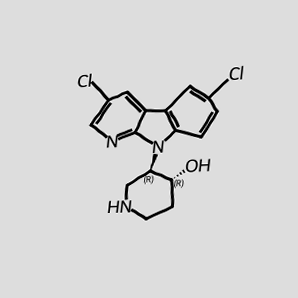 O[C@@H]1CCNC[C@H]1n1c2ccc(Cl)cc2c2cc(Cl)cnc21